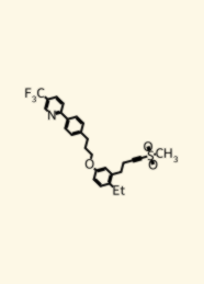 CCc1ccc(OCCCc2ccc(-c3ccc(C(F)(F)F)cn3)cc2)cc1CCC#CS(C)(=O)=O